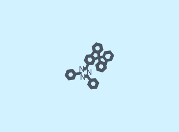 CC1C=CC=CC1C1(c2ccccc2)c2ccccc2-c2ccc(-c3nc(-c4ccccc4)nc(-c4ccccc4)n3)cc21